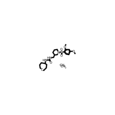 COc1ccc(S(=O)(=O)N2CCCC(CNC(=O)N[C]3CCCCCCC3)C2)c(OC)c1.[CH2].[CH2]